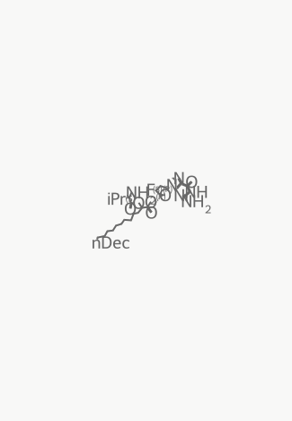 CCCCCCCCCCCCCCCCCCCCC(OC(=O)[C@@H](N)C(C)C)C(=O)OC[C@H]1O[C@@H](n2cnc3c(=O)[nH]c(N)nc32)C[C@@H]1F